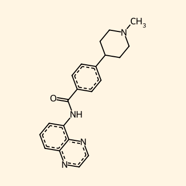 CN1CCC(c2ccc(C(=O)Nc3cccc4nccnc34)cc2)CC1